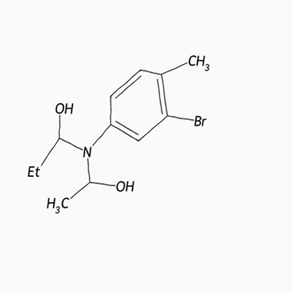 CCC(O)N(c1ccc(C)c(Br)c1)C(C)O